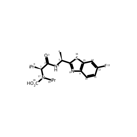 CC(C)[C@@H](C(=O)N[C@@H](C)c1nc2ccc(F)cc2s1)N(C(=O)O)C(C)C